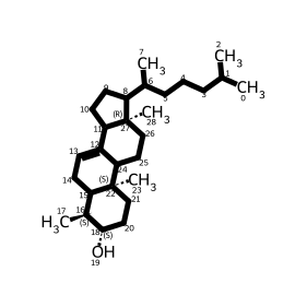 CC(C)CCCC(C)C1CCC2C3=CCC4[C@H](C)[C@@H](O)CC[C@]4(C)C3CC[C@@]21C